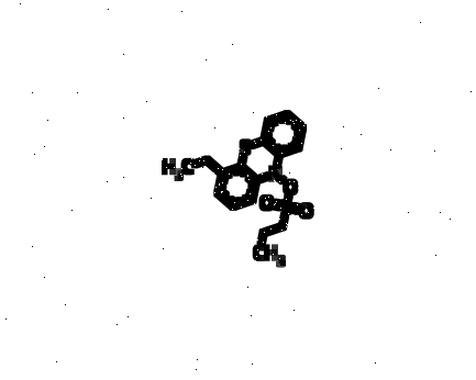 CCCS(=O)(=O)ON1c2ccccc2Sc2c(CC)cccc21